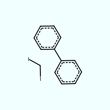 ICI.c1ccc(-c2ccccc2)cc1